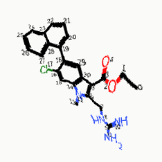 CCOC(=O)c1c(CNC(=N)N)n(C)c2cc(Cl)c(-c3cccc4ccccc34)cc12